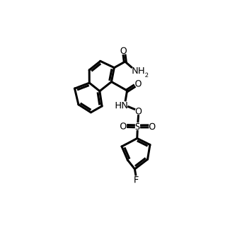 NC(=O)c1ccc2ccccc2c1C(=O)NOS(=O)(=O)c1ccc(F)cc1